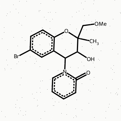 COCC1(C)Oc2ccc(Br)cc2C(n2ccccc2=O)C1O